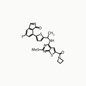 CSc1nc(NC(C)c2ccc(-c3cc(F)cc4c3C(=O)N=C4)s2)c2cc(C(=O)N3CCC3)sc2n1